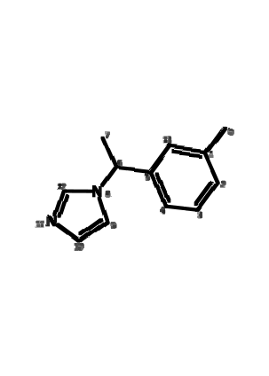 Cc1cccc(C(C)n2ccnc2)c1